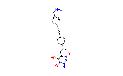 NCc1ccc(C#Cc2ccc(C(CO)Cc3nc[nH]c(=O)c3O)cc2)cc1